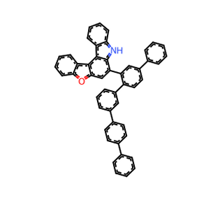 c1ccc(-c2ccc(-c3cccc(-c4ccc(-c5ccccc5)cc4-c4cc5oc6ccccc6c5c5c4[nH]c4ccccc45)c3)cc2)cc1